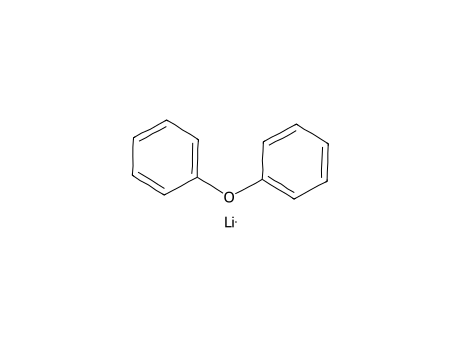 [Li].c1ccc(Oc2ccccc2)cc1